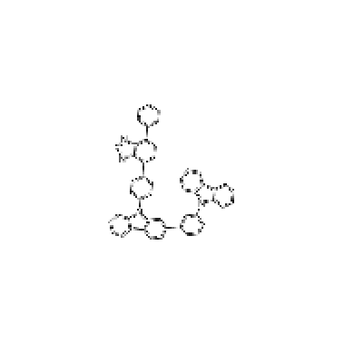 c1ccc(-c2ccc(-c3ccc(-n4c5ccccc5c5ccc(-c6cccc(-n7c8ccccc8c8ccccc87)c6)cc54)cc3)c3nsnc23)cc1